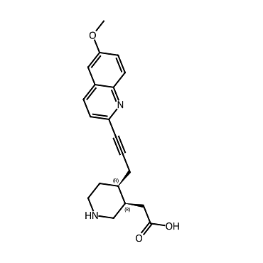 COc1ccc2nc(C#CC[C@@H]3CCNC[C@@H]3CC(=O)O)ccc2c1